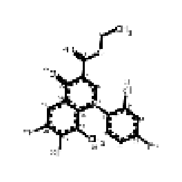 CCOC(=O)c1cn(-c2ccc(F)cc2Cl)c2c(C)c(F)c(F)cc2c1=O